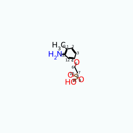 Cc1ccc(OCCS(=O)(=O)O)cc1N